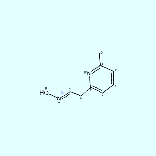 Cc1cccc(C/C=N/O)n1